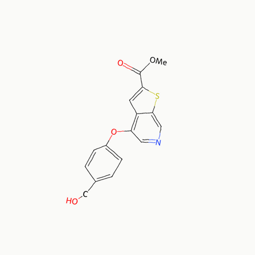 COC(=O)c1cc2c(Oc3ccc(CO)cc3)cncc2s1